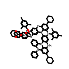 Cc1cc(C)c(N2c3cc4c(cc3B3c5cc6c(cc5Oc5cc(C7CCCCC7)cc2c53)N(c2c(C)cc(C)cc2C)c2cc(C3CCCCC3)cc3c2B6c2ccccc2N3c2ccccc2)B2c3ccccc3N(c3ccccc3)c3cc(C5CCCCC5)cc(c32)N4)c(C)c1